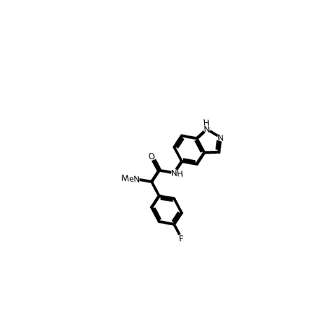 CNC(C(=O)Nc1ccc2[nH]ncc2c1)c1ccc(F)cc1